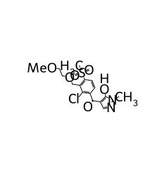 COCCOCc1c(S(C)(=O)=O)ccc(C(=O)c2cnn(C)c2O)c1Cl